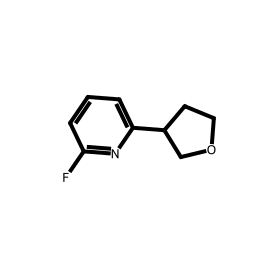 Fc1cccc(C2CCOC2)n1